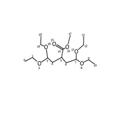 CCOC(CC(CC(OCC)OCC)C(=O)OC)OCC